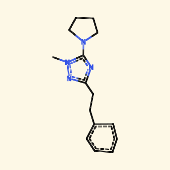 Cn1nc(CCc2ccccc2)nc1N1CCCC1